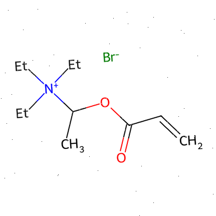 C=CC(=O)OC(C)[N+](CC)(CC)CC.[Br-]